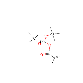 C=C(C)C(=O)O[SiH](O[Si](C)(C)C)O[Si](C)(C)C